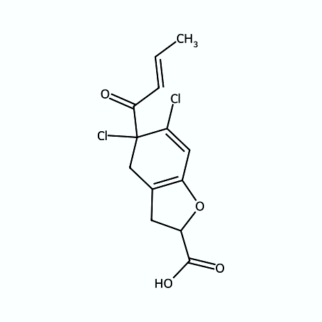 CC=CC(=O)C1(Cl)CC2=C(C=C1Cl)OC(C(=O)O)C2